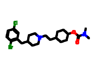 CN(C)C(=O)OC1CCC(CCN2CCC(Cc3cc(Cl)ccc3Br)CC2)CC1